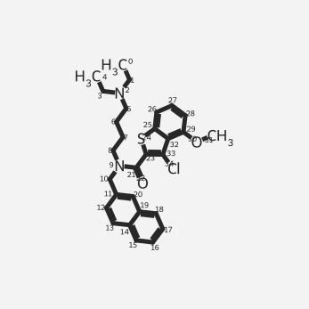 CCN(CC)CCCCN(Cc1ccc2ccccc2c1)C(=O)c1sc2cccc(OC)c2c1Cl